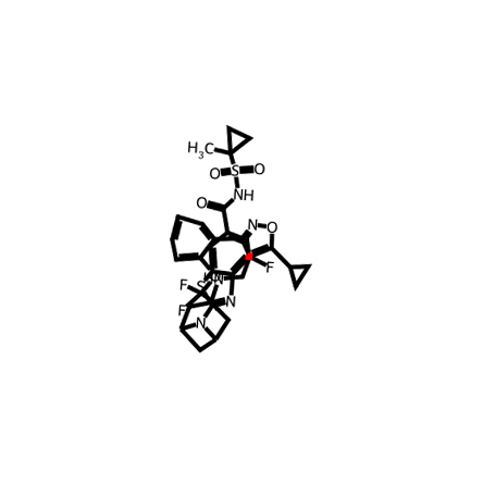 CC1(S(=O)(=O)NC(=O)c2cc(F)c3nc(N4C5CC(NCc6c(-c7ccccc7OC(F)(F)F)noc6C6CC6)CC4C5)sc3c2)CC1